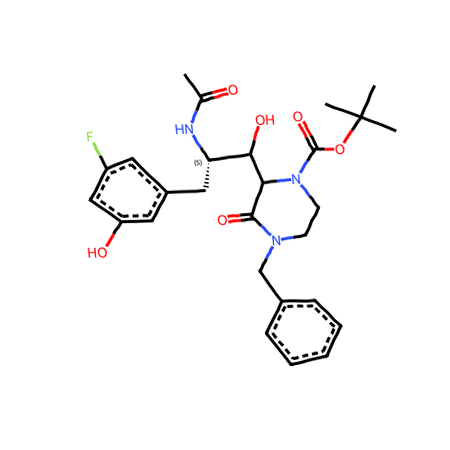 CC(=O)N[C@@H](Cc1cc(O)cc(F)c1)C(O)C1C(=O)N(Cc2ccccc2)CCN1C(=O)OC(C)(C)C